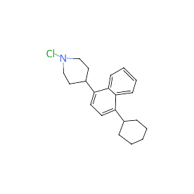 ClN1CCC(c2ccc(C3CCCCC3)c3ccccc23)CC1